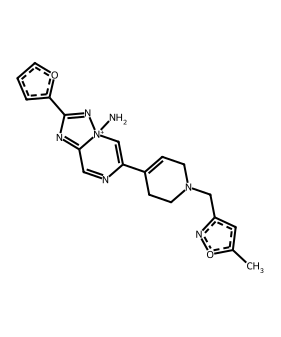 Cc1cc(CN2CC=C(C3=C[N+]4(N)N=C(c5ccco5)N=C4C=N3)CC2)no1